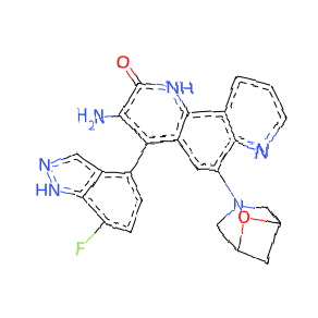 Nc1c(-c2ccc(F)c3[nH]ncc23)c2cc(N3CC4CC(C3)O4)c3ncccc3c2[nH]c1=O